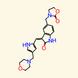 O=C1Nc2ccc(CN3CCOC3=O)cc2/C1=C/c1cc(CN2CCOCC2)c[nH]1